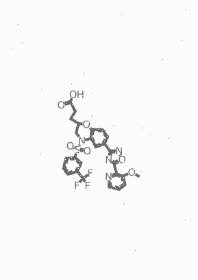 COc1cccnc1-c1nc(-c2ccc3c(c2)N(S(=O)(=O)c2cccc(C(F)(F)F)c2)CC(CCC(=O)O)O3)no1